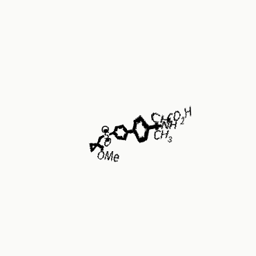 COCC1(CS(=O)(=O)c2ccc(-c3ccc(C(C)(C)NC(=O)O)cc3)cc2)CC1